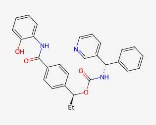 CC[C@H](OC(=O)N[C@@H](c1ccccc1)c1cccnc1)c1ccc(C(=O)Nc2ccccc2O)cc1